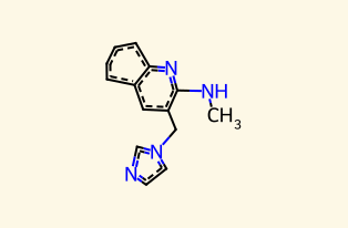 CNc1nc2ccccc2cc1Cn1ccnc1